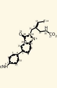 CC(=O)Nc1ccc(-c2ccc3nn(C/C(=C/F)CNC(=O)O)c(=O)n3c2)cc1